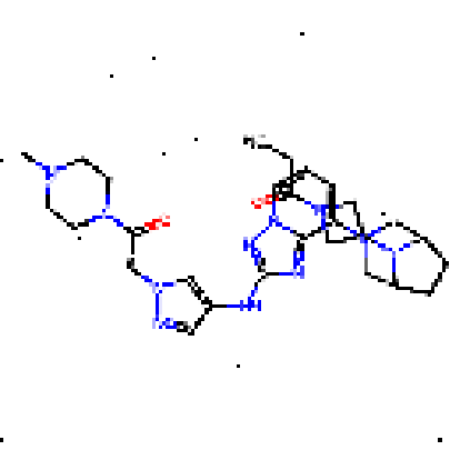 CN1CCN(C(=O)Cn2cc(Nc3nc4c(N5CC6CCC(C5)N6C5CN(C(=O)CC#N)C5)cccn4n3)cn2)CC1